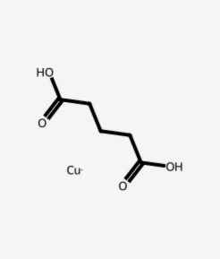 O=C(O)CCCC(=O)O.[Cu]